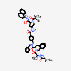 CNCC(=O)NC(C(=O)N1Cc2ccccc2CC1C(=O)N(Cc1ccccc1)Cc1ccc(C(=O)NC2CC(C(=O)NC3CCCc4ccccc43)N(C(=O)C(NC)C(C)(C)C)C2)cc1)C(C)(C)C